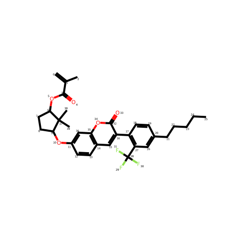 C=C(C)C(=O)OC1CCC(Oc2ccc3cc(-c4ccc(CCCCC)cc4C(F)(F)F)c(=O)oc3c2)C1(C)C